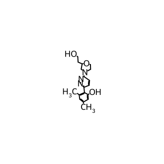 Cc1cc(C)c(-c2ccc(N3CCOC(CCO)C3)nn2)c(O)c1